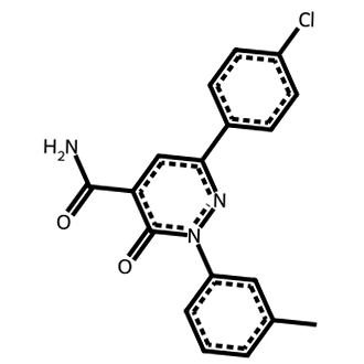 Cc1cccc(-n2nc(-c3ccc(Cl)cc3)cc(C(N)=O)c2=O)c1